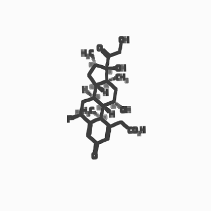 C[C@H]1C[C@H]2[C@@H]3C[C@H](F)C4=CC(=O)C=C(CC(=O)O)[C@]4(C)[C@H]3[C@@H](O)C[C@]2(C)[C@@]1(O)C(=O)CO